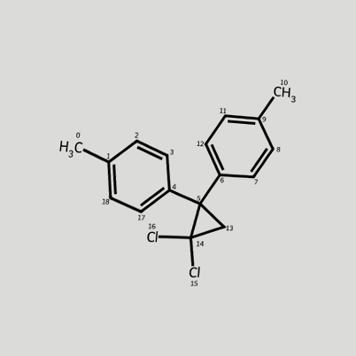 Cc1ccc(C2(c3ccc(C)cc3)CC2(Cl)Cl)cc1